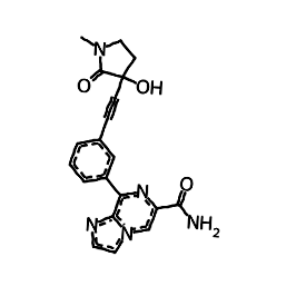 CN1CCC(O)(C#Cc2cccc(-c3nc(C(N)=O)cn4ccnc34)c2)C1=O